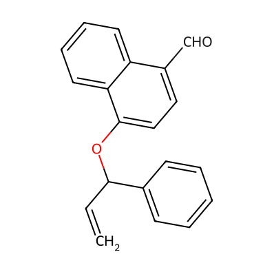 C=CC(Oc1ccc(C=O)c2ccccc12)c1ccccc1